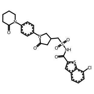 O=C(NS(=O)(=O)CC1CC(=O)N(c2ccc(N3CCCCC3=O)cc2)C1)c1cc2cccc(Cl)c2s1